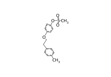 Cc1ccc(CCOc2ccc(OS(C)(=O)=O)cc2)cc1